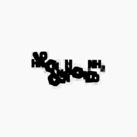 C=CC(=O)Nc1ccnc(-c2cccc3cnc(Nc4ccc(N5CCOC[C@H]5CN)cc4)nc23)c1